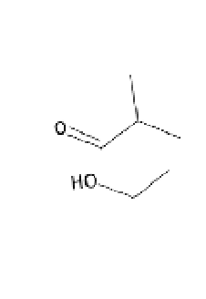 CC(C)C=O.CCO